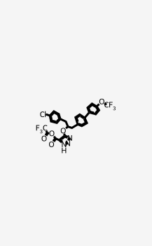 O=C(OC(=O)C(F)(F)F)c1[nH]nnc1OC(Cc1ccc(Cl)cc1)Cc1ccc(-c2ccc(OC(F)(F)F)cc2)cc1